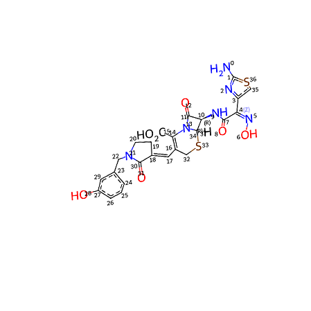 Nc1nc(/C(=N/O)C(=O)N[C@@H]2C(=O)N3C(C(=O)O)=C(C=C4CCN(Cc5cccc(O)c5)C4=O)CS[C@H]23)cs1